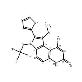 CCc1c(-c2cccs2)n(CC(F)(F)F)c2ccc3[nH]c(=O)cc(Cl)c3c12